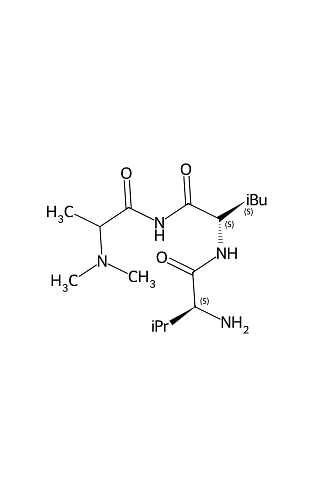 CC[C@H](C)[C@H](NC(=O)[C@@H](N)C(C)C)C(=O)NC(=O)C(C)N(C)C